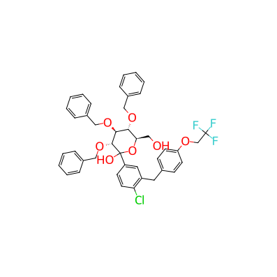 OC[C@H]1OC(O)(c2ccc(Cl)c(Cc3ccc(OCC(F)(F)F)cc3)c2)[C@H](OCc2ccccc2)[C@@H](OCc2ccccc2)[C@@H]1OCc1ccccc1